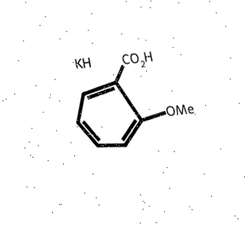 COc1ccccc1C(=O)O.[KH]